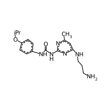 Cc1cc(NCCCN)nc(NC(=O)Nc2ccc(OC(C)C)cc2)n1